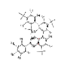 [2H]c1c([2H])c([2H])c(-c2cccc(Nc3c(-c4c([2H])c([2H])c(C(C)(C)C)c([2H])c4[2H])c([2H])c(C(C)(C)C)c([2H])c3-c3c([2H])c([2H])c(C(C)(C)C)c([2H])c3C(C)(C)C)c2)c([2H])c1[2H]